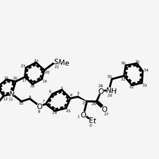 CCO[C@@H](Cc1ccc(OCCn2c(C)ccc2-c2ccc(SC)cc2)cc1)C(=O)ONCc1ccccc1